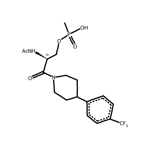 CC(=O)N[C@@H](COP(C)(=O)O)C(=O)N1CCC(c2ccc(C(F)(F)F)cc2)CC1